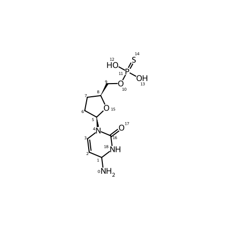 NC1C=CN([C@H]2CC[C@@H](COP(O)(O)=S)O2)C(=O)N1